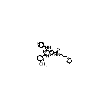 Cc1cccc(-c2nc(Nc3ccncc3)c3cc(C(=O)NCCCN4CCCC4)cn3n2)n1